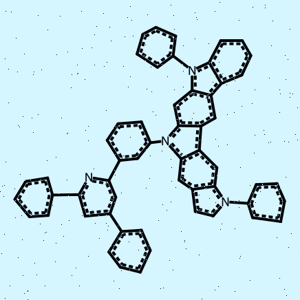 c1ccc(-c2cc(-c3ccccc3)nc(-c3cccc(-n4c5cc6ccn(-c7ccccc7)c6cc5c5cc6c7ccccc7n(-c7ccccc7)c6cc54)c3)c2)cc1